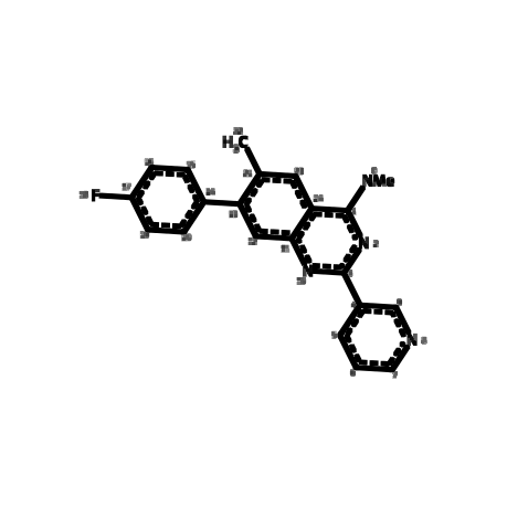 CNc1nc(-c2cccnc2)nc2cc(-c3ccc(F)cc3)c(C)cc12